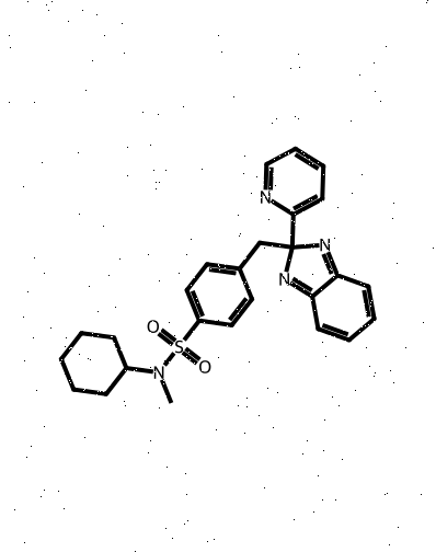 CN(C1CCCCC1)S(=O)(=O)c1ccc(CC2(c3ccccn3)N=c3ccccc3=N2)cc1